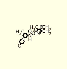 COc1c(C)cnc(COC(=O)Nc2cc(C)cc(N3CCC(=O)CC3)c2)c1C